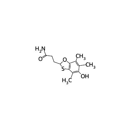 Cc1c(C)c2c(c(C)c1O)SC(CCC(N)=O)O2